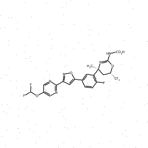 C[C@@]1(c2cc(-c3cc(-c4ncc(OC(F)F)cn4)no3)ccc2F)C[C@@H](C(F)(F)F)OC(NC(=O)O)=N1